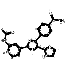 CC(=O)Nc1cc(-c2nc(-c3ccc(C(N)=O)cc3)c(-c3ncc[nH]3)s2)ccn1